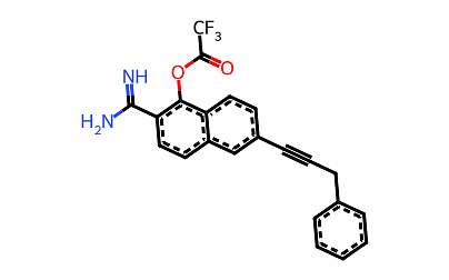 N=C(N)c1ccc2cc(C#CCc3ccccc3)ccc2c1OC(=O)C(F)(F)F